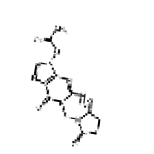 CC(=O)On1cnc2c(=O)n(SN3C(=O)CCC3=O)c(N)nc21